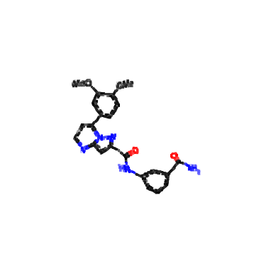 COc1ccc(-c2ccnc3cc(C(=O)Nc4cccc(C(N)=O)c4)nn23)cc1OC